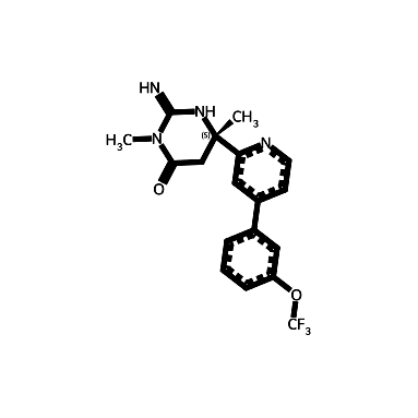 CN1C(=N)N[C@](C)(c2cc(-c3cccc(OC(F)(F)F)c3)ccn2)CC1=O